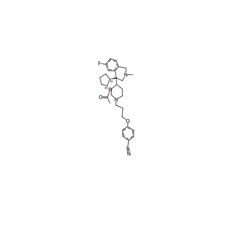 CC(=O)O[C@@H]1CCC[C@H]1C1(C2CCN(CCCOc3ccc(C#N)cc3)CC2)CN(C)Cc2ccc(F)cc21